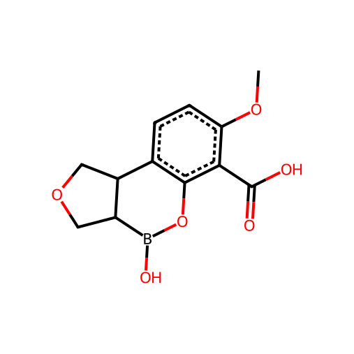 COc1ccc2c(c1C(=O)O)OB(O)C1COCC21